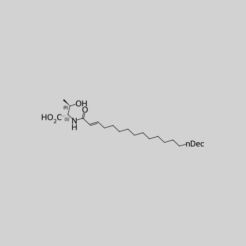 CCCCCCCCCCCCCCCCCCCCCC=CC(=O)N[C@H](C(=O)O)[C@@H](C)O